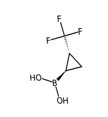 OB(O)[C@@H]1C[C@H]1C(F)(F)F